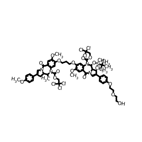 COc1ccc(C2=CN3C(=O)c4cc(OC)c(OCCCOc5cc6c(cc5OC)C(=O)N5C=C(c7ccc(OCCOCCO)cc7)CC5C(O[Si](C)(C)C(C)(C)C)N6C(=O)OCC(Cl)(Cl)Cl)cc4N(C(=O)OCC(Cl)(Cl)Cl)C(C)C3C2)cc1